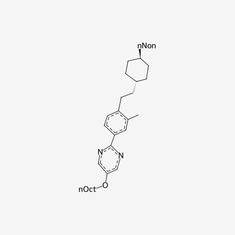 CCCCCCCCC[C@H]1CC[C@H](CCc2ccc(-c3ncc(OCCCCCCCC)cn3)cc2C)CC1